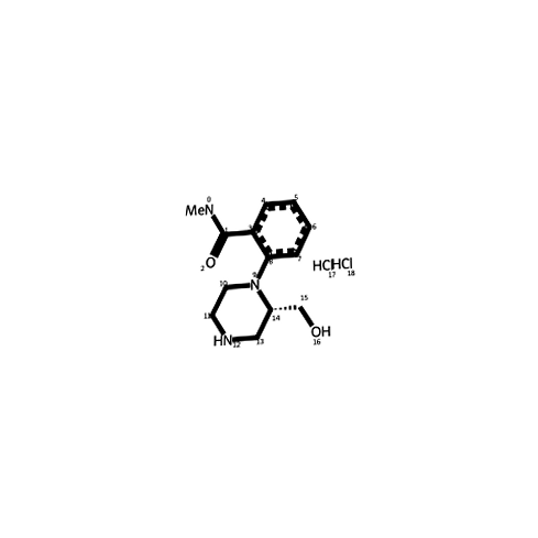 CNC(=O)c1ccccc1N1CCNC[C@H]1CO.Cl.Cl